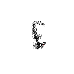 COCCOCCOCCOCCNC(=O)c1ncc(N2CC3(CCC(c4ccccc4)(N(C)C)CC3)N(CC3(O)CCC3)C2=O)cn1